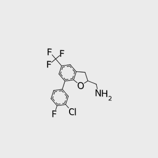 NCC1Cc2cc(C(F)(F)F)cc(-c3ccc(F)c(Cl)c3)c2O1